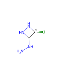 NNC1NN[C@H]1Cl